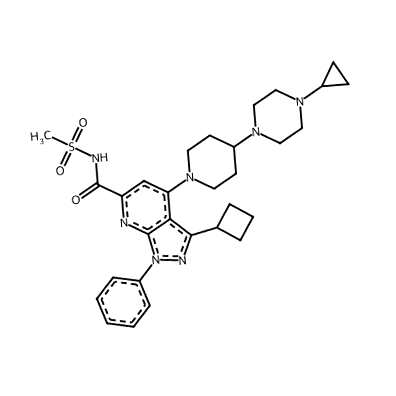 CS(=O)(=O)NC(=O)c1cc(N2CCC(N3CCN(C4CC4)CC3)CC2)c2c(C3CCC3)nn(-c3ccccc3)c2n1